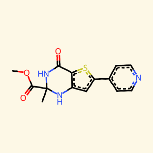 COC(=O)C1(C)NC(=O)c2sc(-c3ccncc3)cc2N1